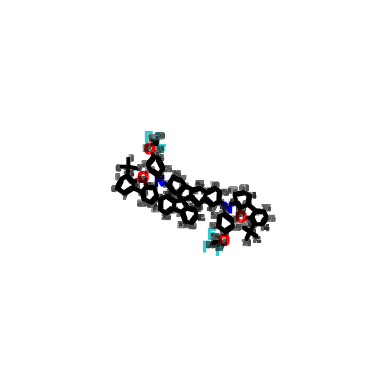 CC(C)(C)c1cccc2c1oc1c(N(c3ccc(OC(F)(F)F)cc3)c3ccc4c(c3)C3(c5ccccc5-c5ccccc53)c3cc5cc(N(c6ccc(OC(F)(F)F)cc6)c6cccc7c6oc6c(C(C)(C)C)cccc67)ccc5cc3-4)cccc12